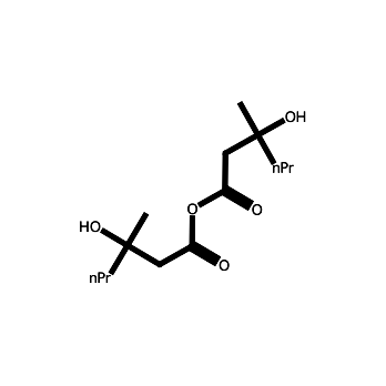 CCCC(C)(O)CC(=O)OC(=O)CC(C)(O)CCC